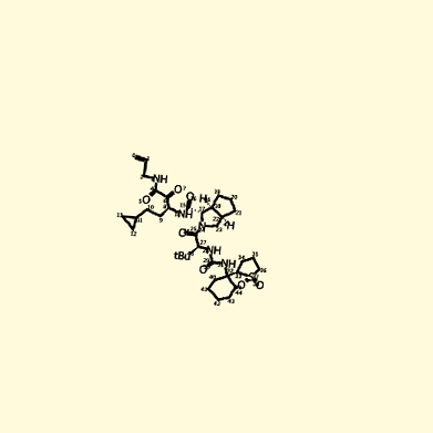 C=CCNC(=O)C(=O)[C@H](CCC1CC1)NC(=O)[C@@H]1[C@H]2CCC[C@H]2CN1C(=O)[C@@H](NC(=O)NC1([C@H]2CCCS2(=O)=O)CCCCC1)C(C)(C)C